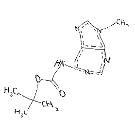 Cn1cnc2c(NC(=O)OC(C)(C)C)ncnc21